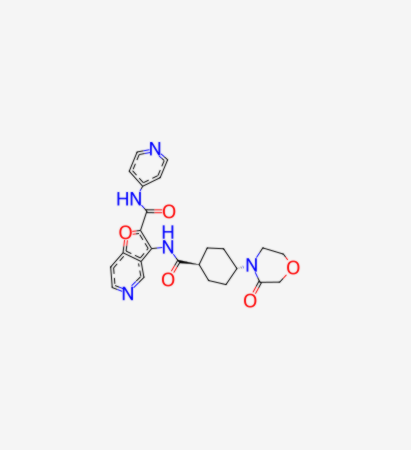 O=C(Nc1ccncc1)c1oc2ccncc2c1NC(=O)[C@H]1CC[C@H](N2CCOCC2=O)CC1